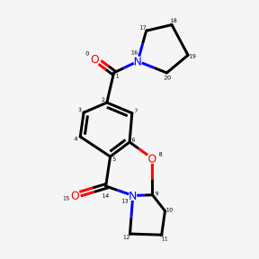 O=C(c1ccc2c(c1)OC1CCCN1C2=O)N1CCCC1